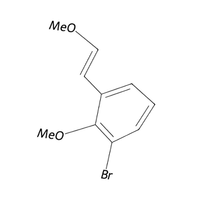 COC=Cc1cccc(Br)c1OC